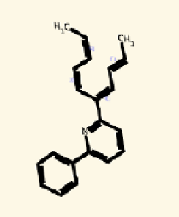 C\C=C/C=C\C(=C/C=C/C)c1cccc(-c2ccccc2)n1